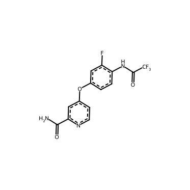 NC(=O)c1cc(Oc2ccc(NC(=O)C(F)(F)F)c(F)c2)ccn1